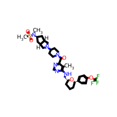 Cc1c(NC[C@H]2CCC[C@@H](c3ccc(OC(F)(F)F)cc3)O2)ncnc1C(=O)N1CCC(N2C[C@H]3C[C@@H](N(C)S(C)(=O)=O)C[C@H]3C2)CC1